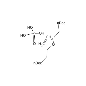 C=C.CCCCCCCCCCCCOCCCCCCCCCCCC.O=P(O)(O)O